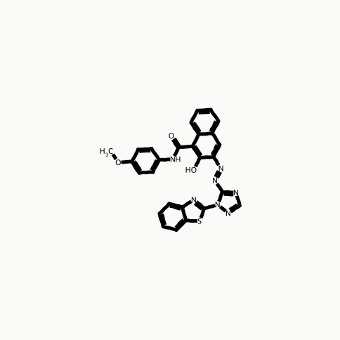 COc1ccc(NC(=O)c2c(O)c(/N=N/c3ncnn3-c3nc4ccccc4s3)cc3ccccc23)cc1